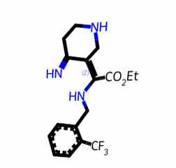 CCOC(=O)/C(NCc1ccccc1C(F)(F)F)=C1\CNCCC1=N